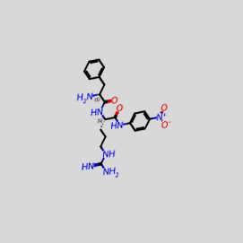 N=C(N)NCCC[C@H](NC(=O)[C@@H](N)Cc1ccccc1)C(=O)Nc1ccc([N+](=O)[O-])cc1